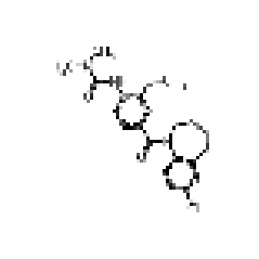 COc1cc(C(=O)N2CCCCc3cc(Cl)ccc32)ccc1NC(=O)N(C)C